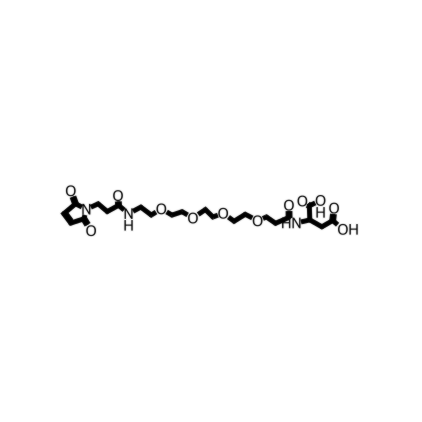 O=C(O)CC(NC(=O)CCOCCOCCOCCOCCNC(=O)CCN1C(=O)C=CC1=O)C(=O)O